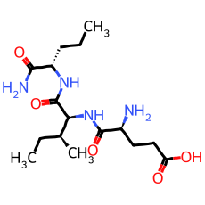 CCC[C@H](NC(=O)[C@@H](NC(=O)[C@@H](N)CCC(=O)O)[C@@H](C)CC)C(N)=O